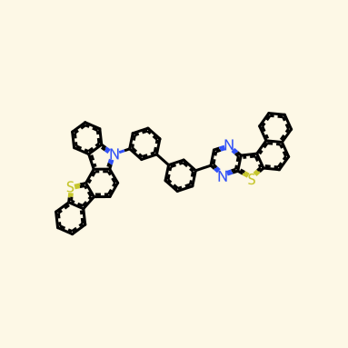 c1cc(-c2cccc(-n3c4ccccc4c4c5sc6ccccc6c5ccc43)c2)cc(-c2cnc3c(n2)sc2ccc4ccccc4c23)c1